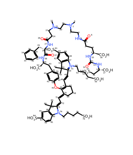 CN(CCNC(=O)CC[C@H](NC(=O)N[C@@H](CS(=O)(=O)O)C(=O)O)C(=O)O)CCN(C)CCC(=O)N[C@@H](Cc1ccccc1)C(=O)N[C@@H](Cc1ccc(OC2=C(/C=C/C3=[N+](CCCCS(=O)(=O)O)c4ccc(S(=O)(=O)O)cc4C3(C)C)CCC/C2=C\C=C2\N(CCCCS(=O)(=O)O)c3ccc(S(=O)(=O)O)cc3C2(C)C)cc1)C(=O)O